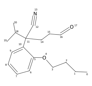 CCCCOc1ccccc1C(C#N)(CCC=O)C(C)C